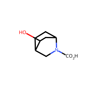 O=C(O)N1CC2CCC1CC2O